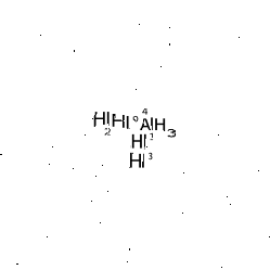 I.I.I.I.[AlH3]